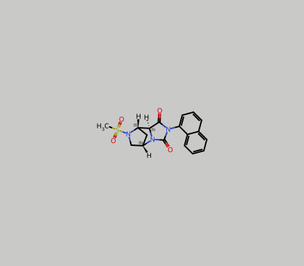 CS(=O)(=O)N1C[C@@H]2C[C@H]1[C@H]1C(=O)N(c3cccc4ccccc34)C(=O)N21